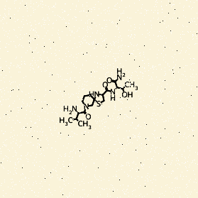 CC(C)[C@H](N)C(=O)N1CCCC2(C1)NC(C(=O)N[C@H](C(N)=O)[C@@H](C)O)CS2